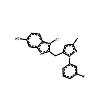 CCn1c(Cc2cc(C)nn2-c2cccc(F)c2)nc2cc(C#N)ccc21